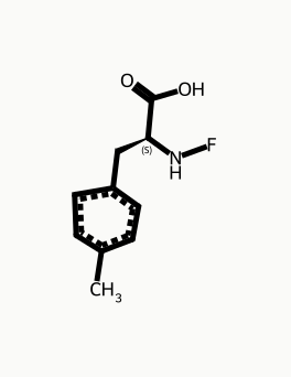 Cc1ccc(C[C@H](NF)C(=O)O)cc1